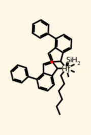 CCCCC[CH2][Hf]([CH3])([CH3])([CH3])(=[SiH2])([CH]1C=Cc2c(-c3ccccc3)cccc21)[CH]1C=Cc2c(-c3ccccc3)cccc21